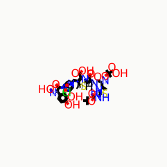 C[C@@H]1S[C@@H]2[C@H](NC(=O)/C(=N\OC(C)(C)C(=O)O)c3csc(NC(=O)OC(C)(C)C)n3)C(=O)N2C(C(=O)O)=C1C[N+]12CCC(CC1)N(C(=O)/C(=N\O)c1ccc(O)c(O)c1Cl)CC2